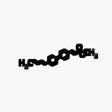 CCCCC[C@H]1CC[C@H]([C@H]2CC[C@H](C=CC(=O)OC)CC2)CC1